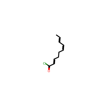 C/C=C/C=C\CC/C=C/C(=O)Cl